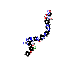 O=C1CCC(N2C(=O)c3ccc(N4CCN(CC5CCN(c6ccc(C(=O)N7CCC[C@@H](Nc8ncnc9[nH]cc(C(=O)c%10ccc(Oc%11ccccc%11)cc%10Cl)c89)C7)cn6)CC5)CC4)cc3C2=O)C(=O)N1